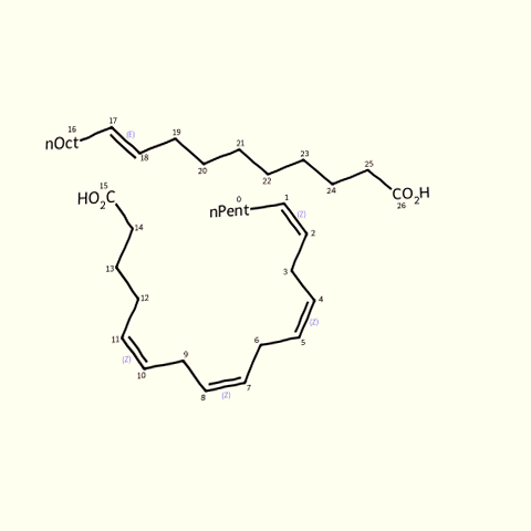 CCCCC/C=C\C/C=C\C/C=C\C/C=C\CCCC(=O)O.CCCCCCCC/C=C/CCCCCCCC(=O)O